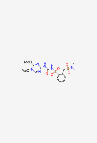 COC1N=C(NC(=O)NS(=O)(=O)c2ccccc2CS(=O)(=O)N(C)C)N=CN1OC